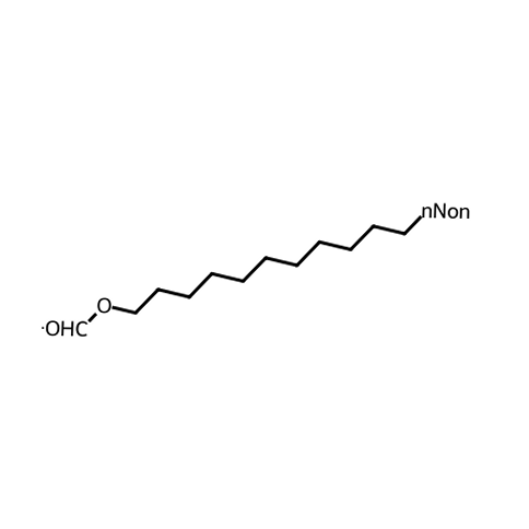 CCCCCCCCCCCCCCCCCCCCO[C]=O